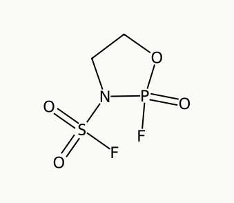 O=P1(F)OCCN1S(=O)(=O)F